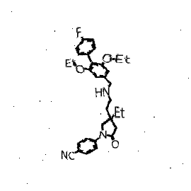 CCOc1cc(CNCCC2(CC)CC(=O)N(c3ccc(C#N)cc3)C2)cc(OCC)c1-c1ccc(F)cc1